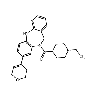 O=C(C1CCN(CC(F)(F)F)CC1)N1Cc2cccnc2Nc2ccc(C3=CCOCC3)cc21